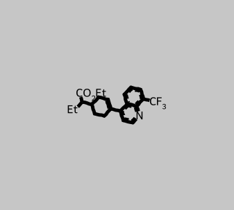 CCOC(=O)C(CC)C1CC=C(c2ccnc3c(C(F)(F)F)cccc23)CC1